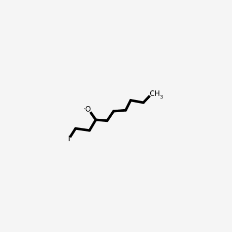 CCCCCCC([O])CCI